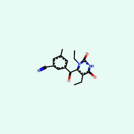 CCc1c(C(=O)c2cc(C)cc(C#N)c2)n(CC)c(=O)[nH]c1=O